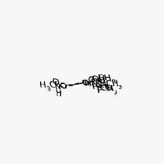 COC(=O)[C@@H](NC(=O)c1ccc(C#CC#Cc2ccc(NC(C)=O)cc2)cc1)[C@](C)(NC(C)=O)C(F)F